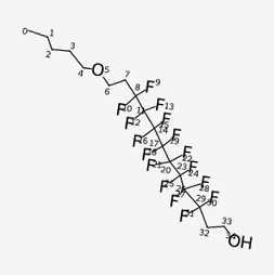 CCCCCOCCC(F)(F)C(F)(F)C(F)(F)C(F)(F)C(F)(F)C(F)(F)C(F)(F)C(F)(F)CCO